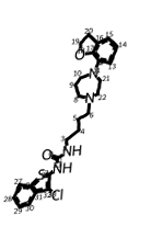 O=C(NCCCCN1CCCN(c2cccc3c2OCC3)CC1)Nc1sc2ccccc2c1Cl